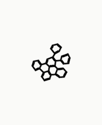 c1ccc(-c2cc3c4ccccc4c4cccc5c6ccccc6c(c2-c2ccccc2)c3c45)cc1